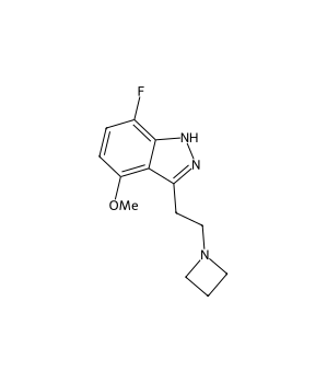 COc1ccc(F)c2[nH]nc(CCN3CCC3)c12